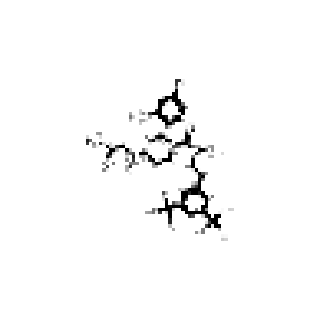 Cc1cc(F)ccc1[C@H]1C[C@@H]([S@+]([O-])C[C@H](C)O)CCN1C(=O)N(C)CCc1cc(C(F)(F)F)cc(C(F)(F)F)c1